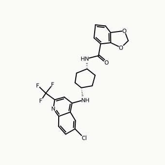 O=C(N[C@H]1CC[C@@H](Nc2cc(C(F)(F)F)nc3ccc(Cl)cc23)CC1)c1cccc2c1OCO2